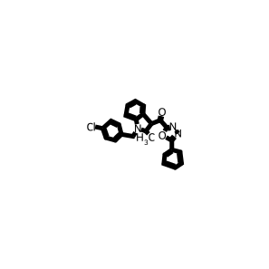 CC1C(C(=O)c2nnc(-c3ccccc3)o2)c2ccccc2N1Cc1ccc(Cl)cc1